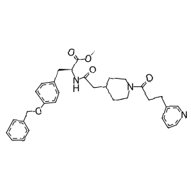 COC(=O)[C@H](Cc1ccc(OCc2ccccc2)cc1)NC(=O)CC1CCN(C(=O)CCc2cccnc2)CC1